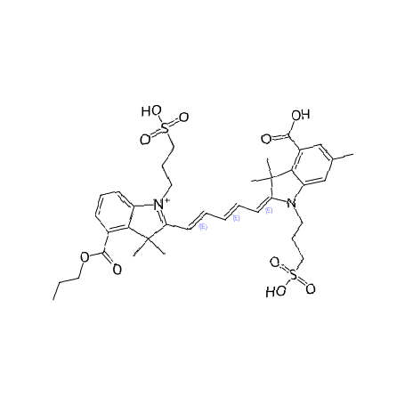 CCCOC(=O)c1cccc2c1C(C)(C)C(/C=C/C=C/C=C1/N(CCCS(=O)(=O)O)c3cc(C)cc(C(=O)O)c3C1(C)C)=[N+]2CCCS(=O)(=O)O